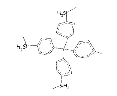 C[SiH2]c1ccc(C(c2ccc(C)cc2)(c2ccc([SiH2]C)cc2)c2ccc([SiH2]C)cc2)cc1